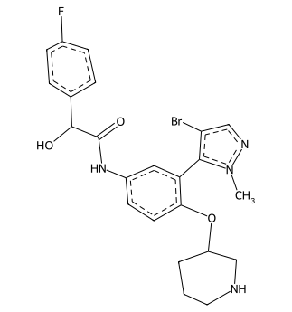 Cn1ncc(Br)c1-c1cc(NC(=O)C(O)c2ccc(F)cc2)ccc1OC1CCCNC1